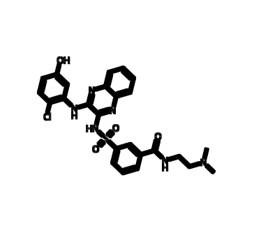 CN(C)CCNC(=O)c1cccc(S(=O)(=O)Nc2nc3ccccc3nc2Nc2cc(O)ccc2Cl)c1